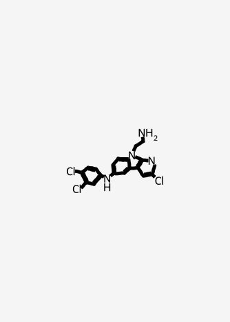 NCCn1c2ccc(Nc3ccc(Cl)c(Cl)c3)cc2c2cc(Cl)cnc21